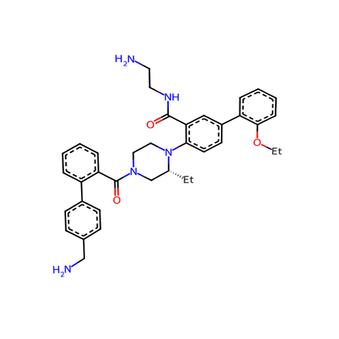 CCOc1ccccc1-c1ccc(N2CCN(C(=O)c3ccccc3-c3ccc(CN)cc3)C[C@H]2CC)c(C(=O)NCCN)c1